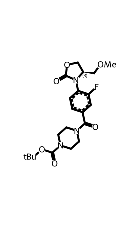 COC[C@@H]1COC(=O)N1c1ccc(C(=O)N2CCN(C(=O)OC(C)(C)C)CC2)cc1F